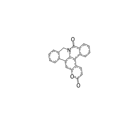 O=c1ccc2c(cc3c4c2c2ccccc2c(=O)n4Cc2ccccc2-3)o1